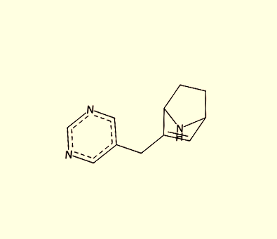 C1=C(Cc2cncnc2)C2CCC1N2